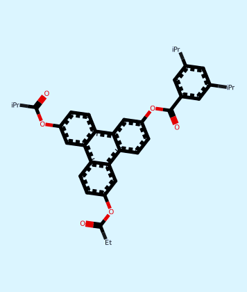 CCC(=O)Oc1ccc2c(c1)c1ccc(OC(=O)c3cc(C(C)C)cc(C(C)C)c3)cc1c1ccc(OC(=O)C(C)C)cc21